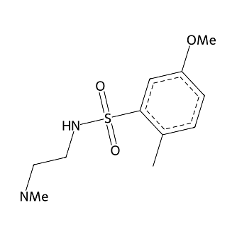 CNCCNS(=O)(=O)c1cc(OC)ccc1C